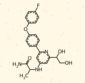 CC(Nc1cc(-c2ccc(Oc3ccc(F)cc3)cc2)nc(C(O)CO)c1)C(N)=O